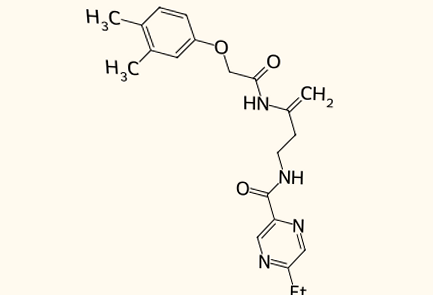 C=C(CCNC(=O)c1cnc(CC)cn1)NC(=O)COc1ccc(C)c(C)c1